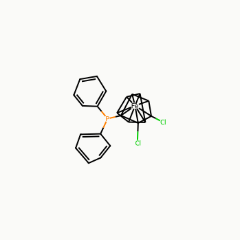 Cl[C]12[CH]3[CH]4[C]5(P(c6ccccc6)c6ccccc6)[C]1(Cl)[Fe]34251678[CH]2[CH]1[CH]6[CH]7[CH]28